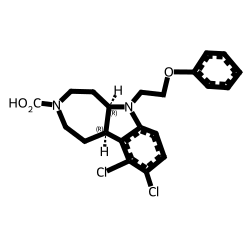 O=C(O)N1CC[C@@H]2c3c(ccc(Cl)c3Cl)N(CCOc3ccccc3)[C@@H]2CC1